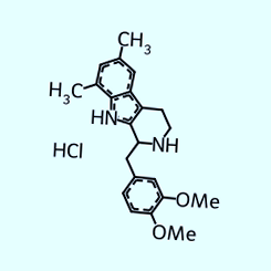 COc1ccc(CC2NCCc3c2[nH]c2c(C)cc(C)cc32)cc1OC.Cl